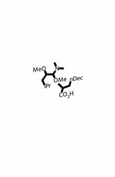 CCCCCCCCCCCC(C)C(=O)O.COC(CC(C)C)C(OC)N(C)C